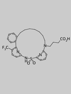 O=C(O)CCCN1CCCCCCCc2ccccc2-c2nc(ccc2C(F)(F)F)NS(=O)(=O)c2cccc1n2